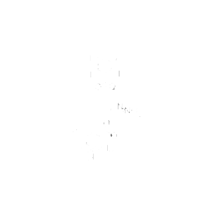 O=C(OCCN(CCOC(=O)c1c(I)ccc(I)c1I)[N+](=O)[O-])c1cc(I)cc(I)c1I